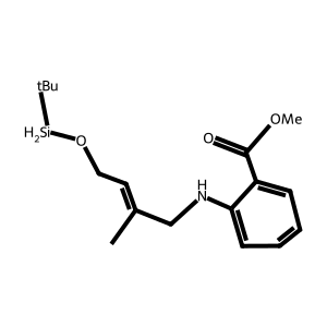 COC(=O)c1ccccc1NCC(C)=CCO[SiH2]C(C)(C)C